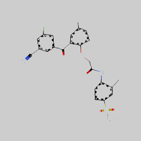 Cc1cc(S(N)(=O)=O)ccc1NC(=O)COc1ccc(Cl)cc1C(=O)c1cc(F)cc(C#N)c1